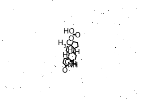 C[C@]12CCC(=O)N[C@@H]1CC[C@@H]1[C@@H]2CC[C@]2(C)[C@@H](OC(=O)O)CC[C@@H]12